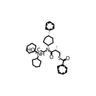 C1CCC(NC2CCCCC2)CC1.C[C@H](CSC(=O)c1ccccc1)C(=O)N(CC(=O)O)[C@H]1CC[C@@H](c2ccccc2)CC1